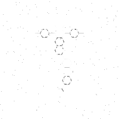 CON(c1ccc(C)cc1)c1cc2cnc(N3CCC(Nc4ccc(C(=O)O)cc4)CC3)nc2cc1N(OC)c1ccc(C)cc1